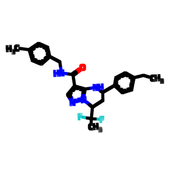 CCc1ccc(C2CC(C(C)(F)F)n3ncc(C(=O)NCc4ccc(C)cc4)c3N2)cc1